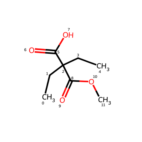 CCC(CC)(C(=O)O)C(=O)OC